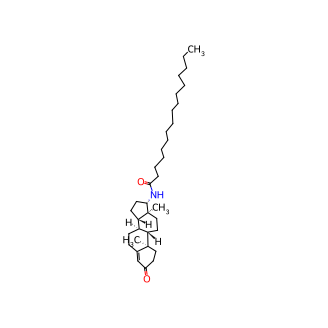 CCCCCCCCCCCCCCCC(=O)N[C@H]1CC[C@H]2[C@@H]3CCC4=CC(=O)CC[C@]4(C)[C@H]3CC[C@]12C